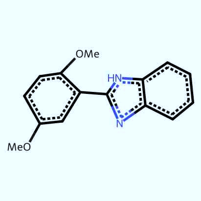 COc1ccc(OC)c(-c2nc3ccccc3[nH]2)c1